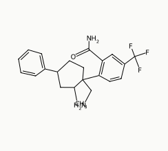 CC1CC(c2ccccc2)CCC1(CN)c1ccc(C(F)(F)F)cc1C(N)=O